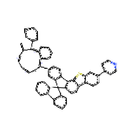 C=C1/C=C\C=C/C/C(c2ccc3c(c2)C2(c4ccccc4-c4ccccc42)c2ccc4c(sc5cc(-c6ccncc6)ccc54)c2-3)=c2/cccc/c2=C/1c1ccccc1